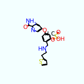 CS(=O)(=O)O.NC(=O)c1ccc(Oc2ccc(CNCCc3cccs3)cc2)cn1